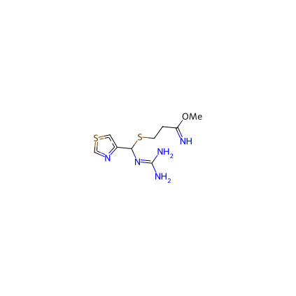 COC(=N)CCSC(N=C(N)N)c1cscn1